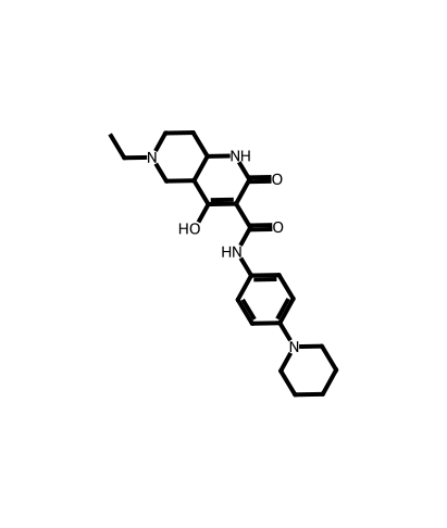 CCN1CCC2NC(=O)C(C(=O)Nc3ccc(N4CCCCC4)cc3)=C(O)C2C1